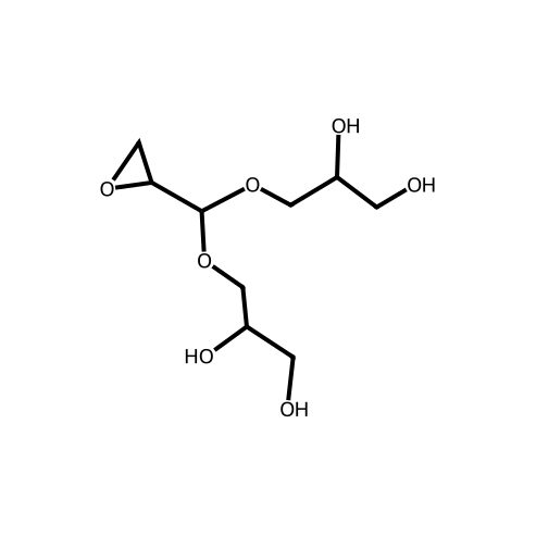 OCC(O)COC(OCC(O)CO)C1CO1